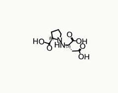 O=C(O)C[C@H](NN1CCC[C@@H]1C(=O)O)C(=O)O